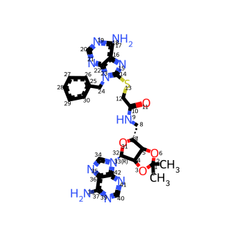 CC1(C)OC2C(O1)[C@@H](CNC(=O)CSc1nc3c(N)ncnc3n1Cc1ccccc1)O[C@H]2n1cnc2c(N)ncnc21